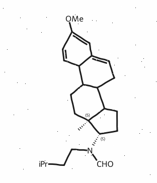 COC1=CC2=CCC3C(CC[C@@]4(C)C3CC[C@@H]4N(C=O)CCC(C)C)C2C=C1